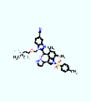 Cc1ccc(S(=O)(=O)n2cc(C3CC=NN3)c3c(C(I)c4nc5cc(C#N)ccc5n4COCC[Si](C)(C)C)c(C)cc(C)c32)cc1